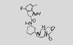 Cc1ccc(F)c2c1NC(C(=O)N[C@@H]1CCC[C@H](N3CCN4C(=O)COC[C@H]4C3)C1)C2